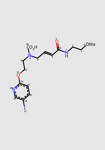 COCCNC(=O)C=CCN(CCOc1ccc(I)cn1)C(=O)O